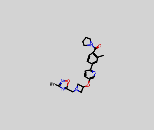 Cc1cc(-c2ccc(OC3CN(Cc4nc(C(C)C)no4)C3)cn2)ccc1C(=O)N1CCCC1